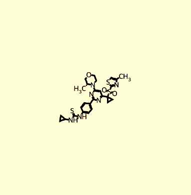 Cc1csc(S(=O)(=O)C2(c3cc(N4CCOC[C@@H]4C)nc(-c4ccc(NC(=S)NC5CC5)cc4)n3)CC2)n1